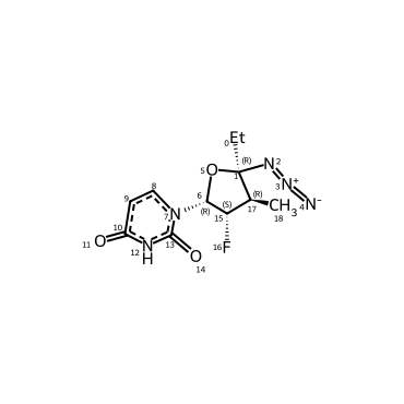 CC[C@@]1(N=[N+]=[N-])O[C@@H](n2ccc(=O)[nH]c2=O)[C@@H](F)[C@@H]1C